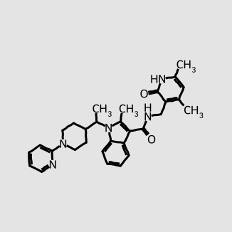 Cc1cc(C)c(CNC(=O)c2c(C)n(C(C)C3CCN(c4ccccn4)CC3)c3ccccc23)c(=O)[nH]1